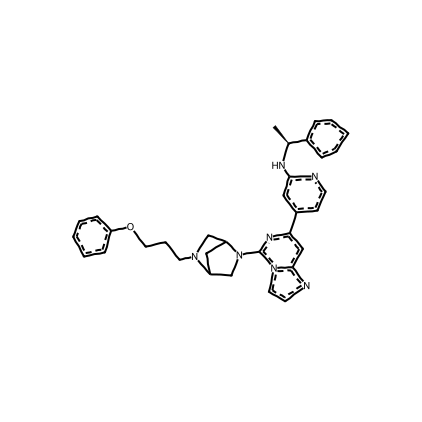 C[C@H](Nc1cc(-c2cc3nccn3c(N3CC4CC3CN4CCCOc3ccccc3)n2)ccn1)c1ccccc1